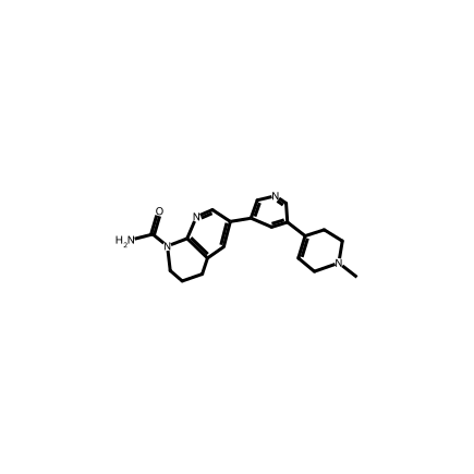 CN1CC=C(c2cncc(-c3cnc4c(c3)CCCN4C(N)=O)c2)CC1